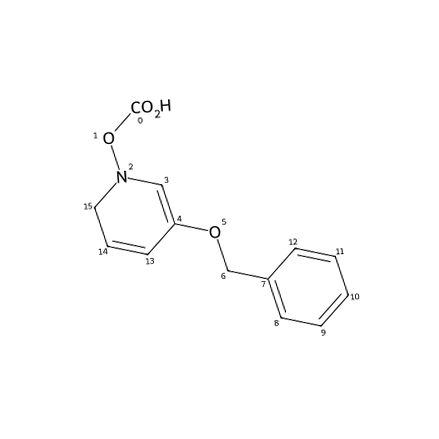 O=C(O)ON1C=C(OCc2ccccc2)C=CC1